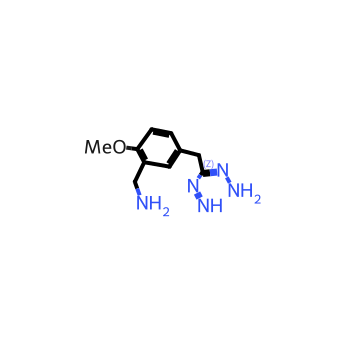 COc1ccc(C/C(N=N)=N/N)cc1CN